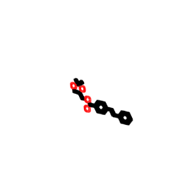 CC1(C)OCC(COC(=O)c2ccc(/C=C/c3ccccc3)cc2)O1